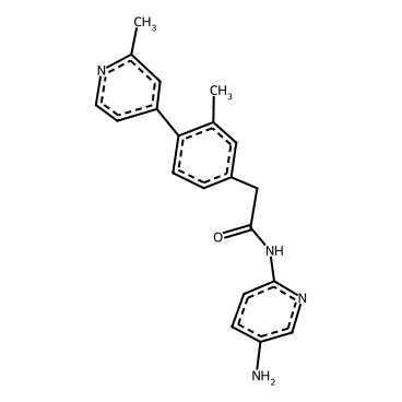 Cc1cc(-c2ccc(CC(=O)Nc3ccc(N)cn3)cc2C)ccn1